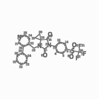 O=C1N(c2ccc(S(=O)(=O)C(F)(F)F)cc2)C(=O)C2(CC2)N1Cc1ccncc1-c1ccccc1